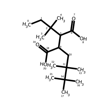 CCC(C)(C)C(C(=O)O)C(CC(C)(C)C(C)(C)C)C(=O)O